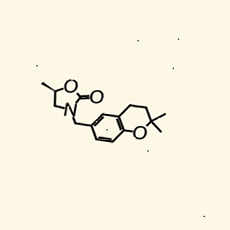 C[C@@H]1CN(Cc2ccc3c(c2)CCC(C)(C)O3)C(=O)O1